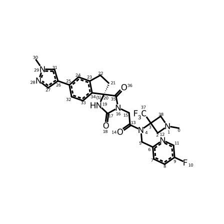 CN1CC(N(Cc2ccc(F)cn2)C(=O)CN2C(=O)N[C@]3(CCc4cc(-c5cnn(C)c5)ccc43)C2=O)(C(F)(F)F)C1